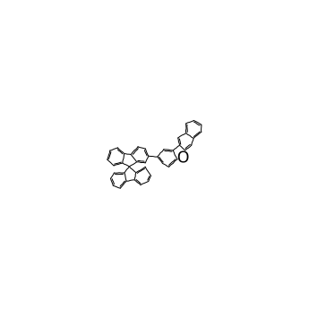 c1ccc2c(c1)-c1ccccc1C21c2ccccc2-c2ccc(-c3ccc4oc5cc6ccccc6cc5c4c3)cc21